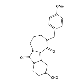 COc1ccc(CN2CCCn3c(c4n(c3=O)CCN(C=O)C4)C2=O)cc1